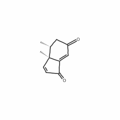 C[C@@H]1CC(=O)C=C2C(=O)C=C[C@]21C